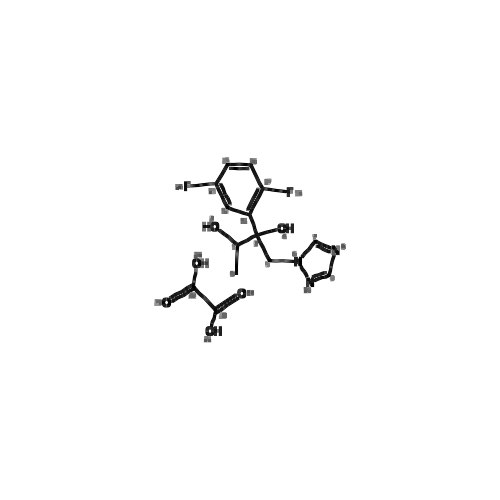 CC(O)C(O)(Cn1cncn1)c1cc(F)ccc1F.O=C(O)C(=O)O